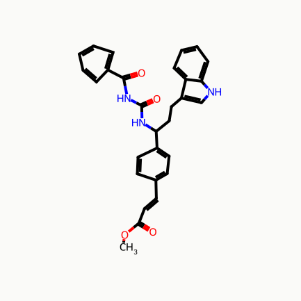 COC(=O)C=Cc1ccc(C(CCc2c[nH]c3ccccc23)NC(=O)NC(=O)c2ccccc2)cc1